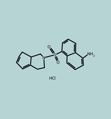 Cl.Nc1cccc2c(S(=O)(=O)N3CCC4=CC=CCC4C3)cccc12